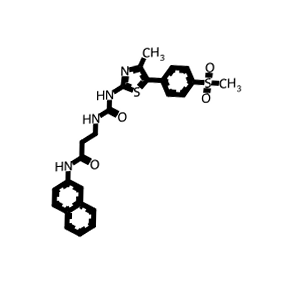 Cc1nc(NC(=O)NCCC(=O)Nc2ccc3ccccc3c2)sc1-c1ccc(S(C)(=O)=O)cc1